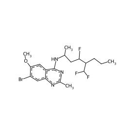 CCCC(C(F)F)C(F)CC(C)Nc1nc(C)nc2cc(Br)c(OC)cc12